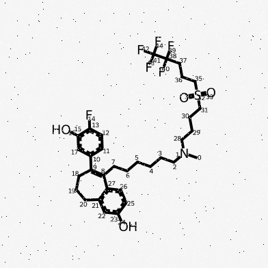 CN(CCCCCCC1=C(c2ccc(F)c(O)c2)CCCc2cc(O)ccc21)CCCCS(=O)(=O)CCCC(F)(F)C(F)(F)F